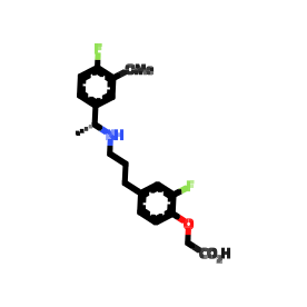 COc1cc([C@@H](C)NCCCc2ccc(OCC(=O)O)c(F)c2)ccc1F